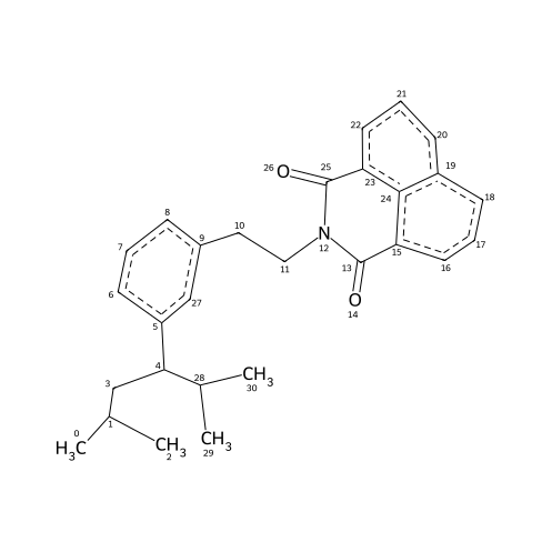 CC(C)CC(c1cccc(CCN2C(=O)c3cccc4cccc(c34)C2=O)c1)C(C)C